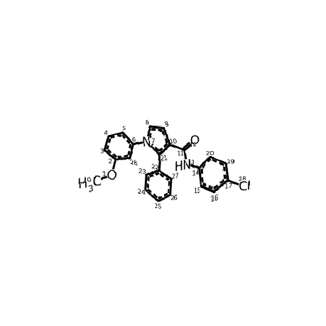 COc1cccc(-n2ccc(C(=O)Nc3ccc(Cl)cc3)c2-c2ccccc2)c1